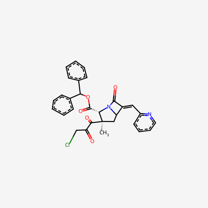 C[C@@]1(C(=O)C(=O)CCl)CC2/C(=C\c3ccccn3)C(=O)N2[C@H]1C(=O)OC(c1ccccc1)c1ccccc1